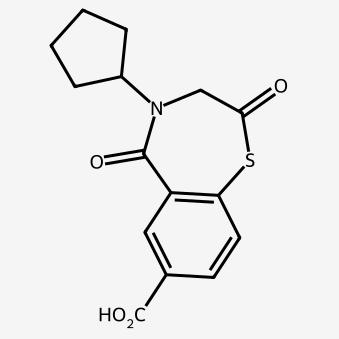 O=C1CN(C2CCCC2)C(=O)c2cc(C(=O)O)ccc2S1